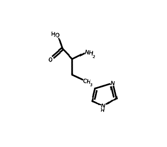 CCC(N)C(=O)O.c1c[nH]cn1